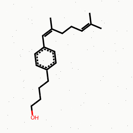 CC(C)=CCCC(C)=Cc1ccc(CCCCO)cc1